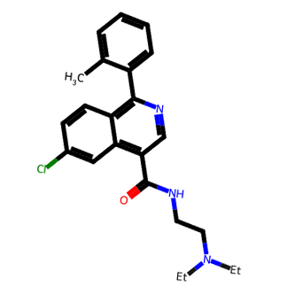 CCN(CC)CCNC(=O)c1cnc(-c2ccccc2C)c2ccc(Cl)cc12